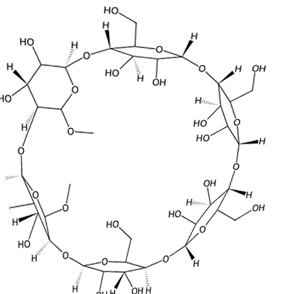 COC1O[C@@H]2O[C@@H]3C(OC)O[C@H](O[C@@H]4C(CO)O[C@H](O[C@@H]5C(CO)O[C@H](O[C@@H]6C(CO)O[C@H](O[C@@H]7C(CO)O[C@H](O[C@H]1[C@H](O)C2O)C(O)[C@H]7O)C(O)[C@H]6O)C(O)[C@H]5O)C(O)[C@H]4O)C(O)[C@H]3O